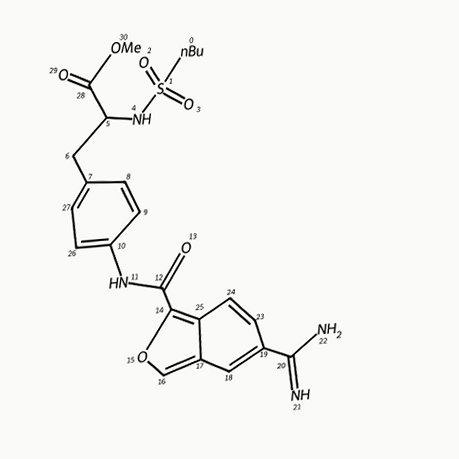 CCCCS(=O)(=O)NC(Cc1ccc(NC(=O)c2occ3cc(C(=N)N)ccc23)cc1)C(=O)OC